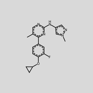 Cc1cnc(Nc2cnn(C)c2)nc1-c1ccc(OC2CC2)c(F)c1